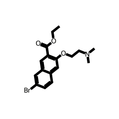 CCOC(=O)c1cc2cc(Br)ccc2cc1OCCN(C)C